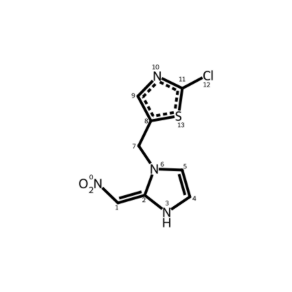 O=[N+]([O-])C=C1NC=CN1Cc1cnc(Cl)s1